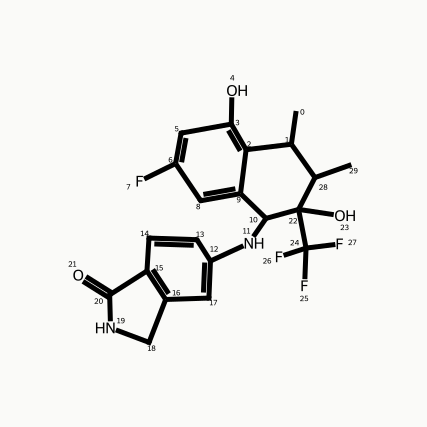 CC1c2c(O)cc(F)cc2C(Nc2ccc3c(c2)CNC3=O)C(O)(C(F)(F)F)C1C